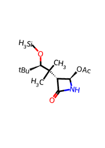 CC(=O)O[C@H]1NC(=O)[C@@H]1C(C)(C)[C@H](O[SiH3])C(C)(C)C